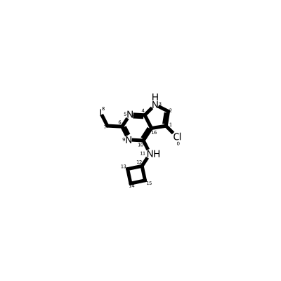 Clc1c[nH]c2nc(CI)nc(NC3CCC3)c12